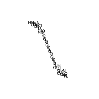 O=C(CCc1cc(Cl)c(Oc2ccncc2C(=O)N2CCNc3ccccc32)cc1Cl)NCCOCCOCCOCCOCCOCCOCCOCCOCCOCCOCCNC(=O)CCc1cc(Cl)c(Oc2ccncc2C(=O)N2CCN(C3CC3)c3ccccc32)cc1Cl